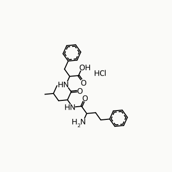 CC(C)CC(NC(=O)C(N)CCc1ccccc1)C(=O)NC(Cc1ccccc1)C(=O)O.Cl